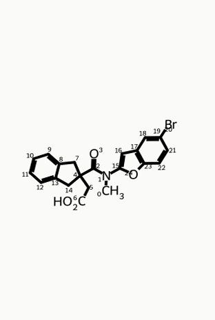 CN(C(=O)C1(CC(=O)O)Cc2ccccc2C1)c1cc2cc(Br)ccc2o1